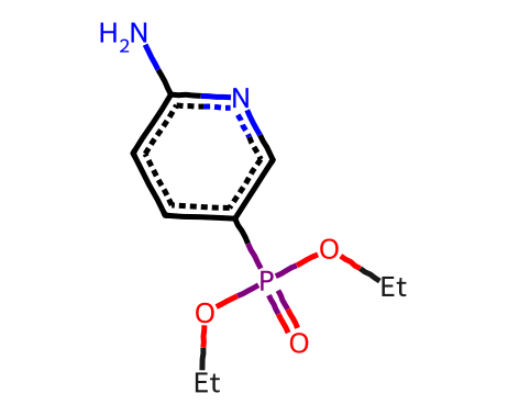 CCOP(=O)(OCC)c1ccc(N)nc1